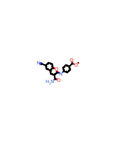 COC(=O)c1ccc(/N=c2\oc3ccc(C#N)cc3cc2C(N)=O)cc1